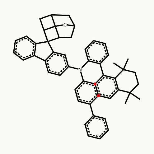 CC1(C)CCC(C)(C)c2c(-c3ccccc3N(c3ccc(-c4ccccc4)cc3)c3ccc4c(c3)C3(c5ccccc5-4)C4CC5CC6CC3C64C5)cccc21